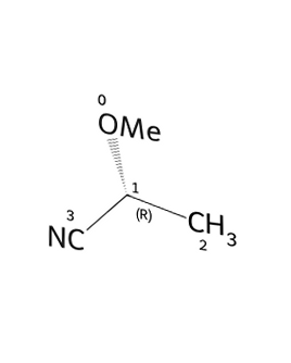 CO[C@H](C)C#N